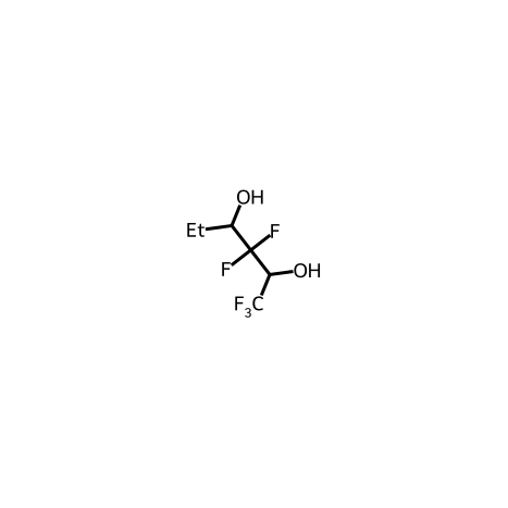 CCC(O)C(F)(F)C(O)C(F)(F)F